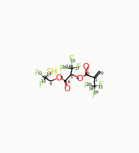 C=C(C(=O)OC(C(=O)OCC(F)(F)S)C(F)(F)F)C(F)(F)F